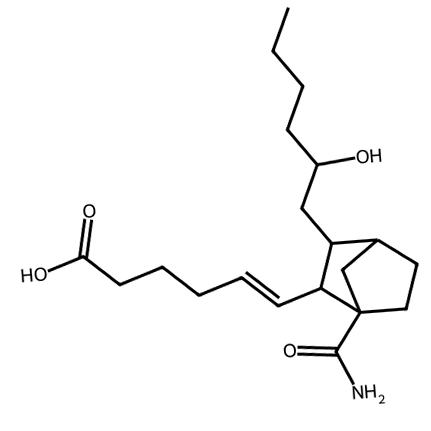 CCCCC(O)CC1C2CCC(C(N)=O)(C2)C1C=CCCCC(=O)O